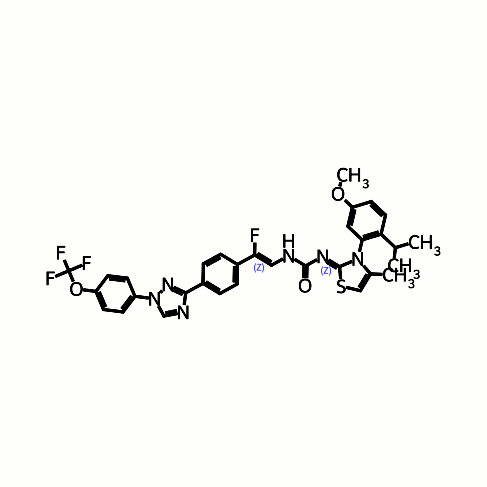 COc1ccc(C(C)C)c(-n2c(C)cs/c2=N\C(=O)N/C=C(\F)c2ccc(-c3ncn(-c4ccc(OC(F)(F)F)cc4)n3)cc2)c1